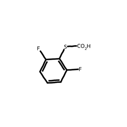 O=C(O)Sc1c(F)cccc1F